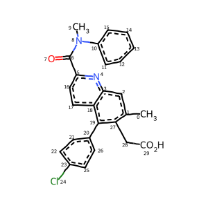 Cc1cc2nc(C(=O)N(C)c3ccccc3)ccc2c(-c2ccc(Cl)cc2)c1CC(=O)O